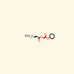 CCOC(=O)/C=C/C(=O)OCC(=O)OC1CCCCC1